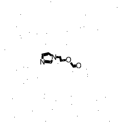 O=COCCn1ccnc1